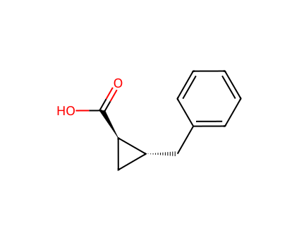 O=C(O)[C@@H]1C[C@H]1Cc1ccccc1